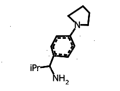 CC(C)C(N)c1ccc(N2CCCC2)cc1